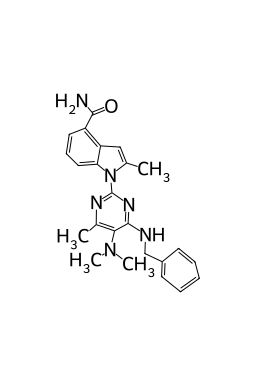 Cc1nc(-n2c(C)cc3c(C(N)=O)cccc32)nc(NCc2ccccc2)c1N(C)C